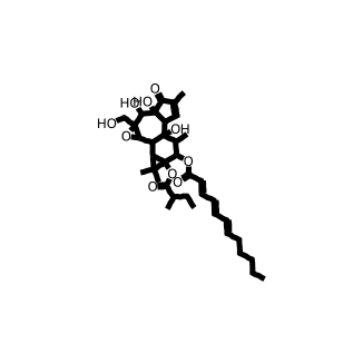 CCCCCC=CC=CC=CC(=O)OC1C(C)C2(O)C(C3OC3(CO)C(O)C3(O)C(=O)C(C)=CC32)C2C(C)(C)C12OC(=O)C(C)CC